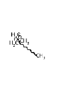 CCCCCCCCCCC(C)(C)C(=O)OC